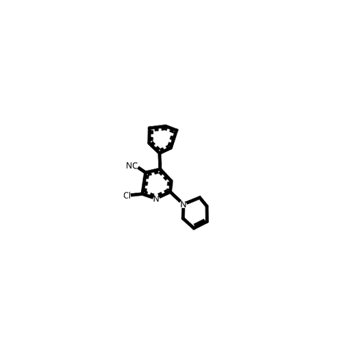 N#Cc1c(-c2ccccc2)cc(N2CC=CCC2)nc1Cl